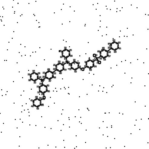 O=S(=O)(c1ccc(Oc2ccc(N(c3ccccc3)c3ccc(-c4ccc(N(c5ccccc5)c5ccc(Oc6ccccc6)cc5)cc4)cc3)cc2)cc1)c1ccc(-c2ccccc2)cc1